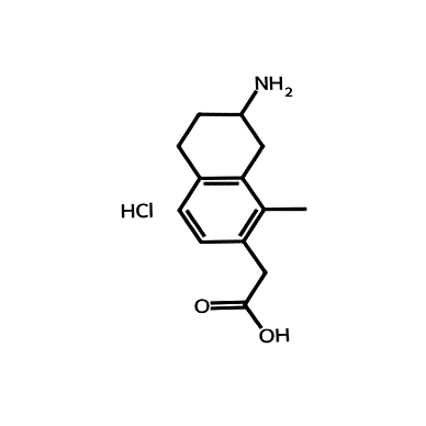 Cc1c(CC(=O)O)ccc2c1CC(N)CC2.Cl